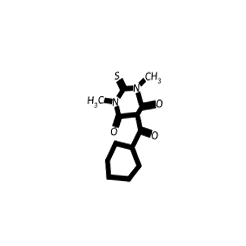 CN1C(=O)C(C(=O)C2CCCCC2)C(=O)N(C)C1=S